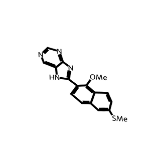 COc1c(-c2nc3ncncc3[nH]2)ccc2cc(SC)ccc12